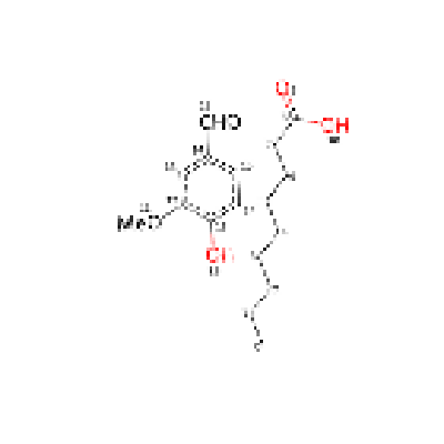 CCCCCCCCC(=O)O.COc1cc(C=O)ccc1O